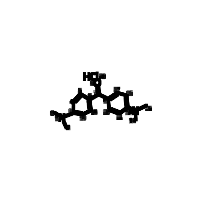 CN(C)c1ccc(C(=O)c2ccc(N(C)C)cc2)cc1.Cl